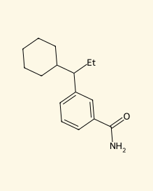 [CH2]CC(c1cccc(C(N)=O)c1)C1CCCCC1